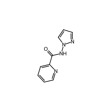 O=C(Nn1cccn1)c1ccccn1